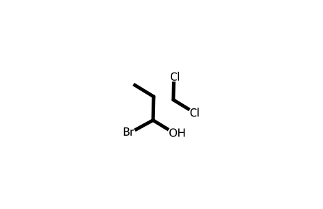 CCC(O)Br.ClCCl